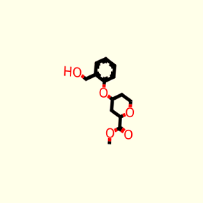 COC(=O)C1CC(Oc2ccccc2CO)CCO1